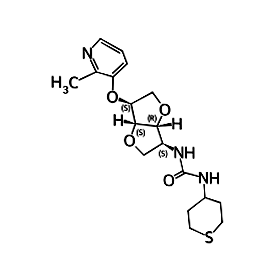 Cc1ncccc1O[C@H]1CO[C@H]2[C@@H]1OC[C@@H]2NC(=O)NC1CCSCC1